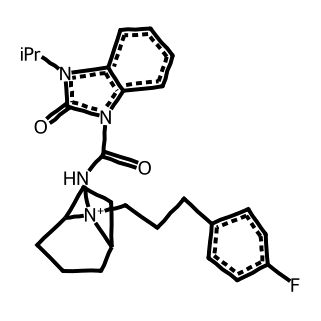 CC(C)n1c(=O)n(C(=O)N[N+]2(CCCc3ccc(F)cc3)C3CCCC2CC3)c2ccccc21